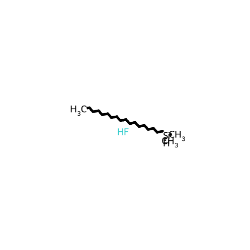 CCCCCCCCCCCCCCCCCC[SiH](C)C.F